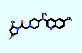 Cc1ccc2ncc(N(C)C3CCN(CC(=O)N4C[C@@H](F)C[C@H]4C#N)CC3)cc2c1